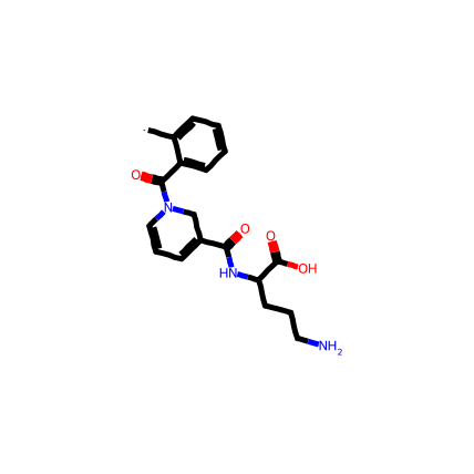 [CH2]c1ccccc1C(=O)N1C=CC=C(C(=O)NC(CCCN)C(=O)O)C1